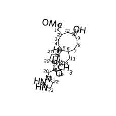 COCC1CC[C@@H]2C(CCC[C@@H](O)C1)CC[C@]1(C)[C@@H](C(=O)CN3CCNN3)CC[C@@H]21